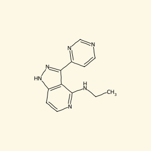 CCNc1nccc2[nH]nc(-c3ccncn3)c12